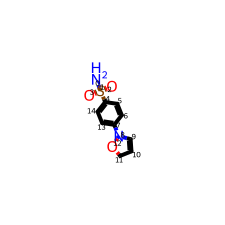 NS(=O)(=O)c1ccc(N2C=CCO2)cc1